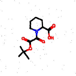 CC(C)(C)OC(=O)C(=O)N1CCCCC1C(=O)O